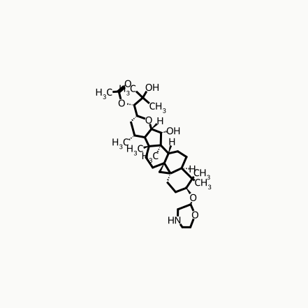 CC(=O)O[C@@H]([C@H]1C[C@@H](C)C2[C@H](O1)[C@H](O)[C@@]1(C)[C@@H]3CC[C@H]4C(C)(C)[C@@H](O[C@H]5CNCCO5)CC[C@@]45C[C@@]35CC[C@]21C)C(C)(C)O